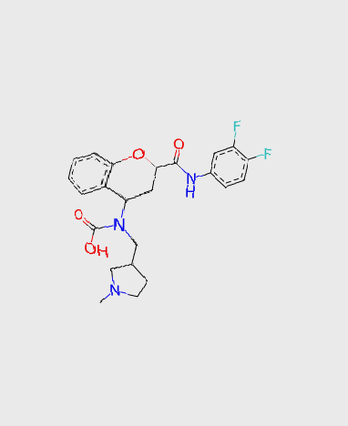 CN1CCC(CN(C(=O)O)C2CC(C(=O)Nc3ccc(F)c(F)c3)Oc3ccccc32)C1